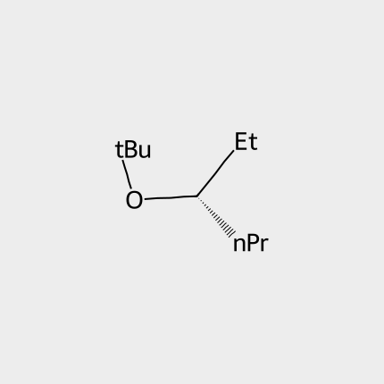 CCC[C@@H](CC)OC(C)(C)C